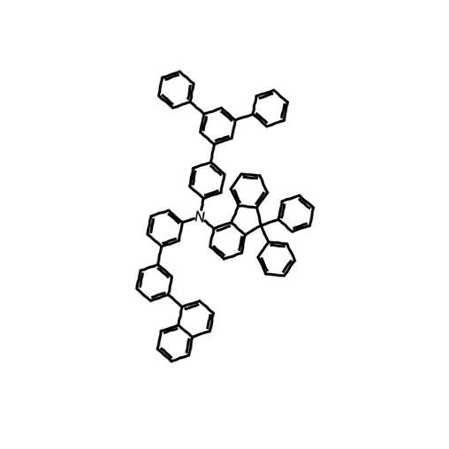 c1ccc(-c2cc(-c3ccccc3)cc(-c3ccc(N(c4cccc(-c5cccc(-c6cccc7ccccc67)c5)c4)c4cccc5c4-c4ccccc4C5(c4ccccc4)c4ccccc4)cc3)c2)cc1